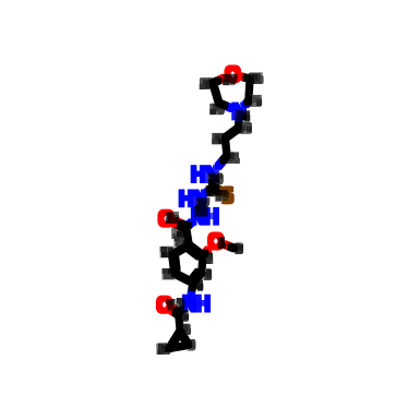 COc1cc(NC(=O)C2CC2)ccc1C(=O)NNC(=S)NCCCN1CCOCC1